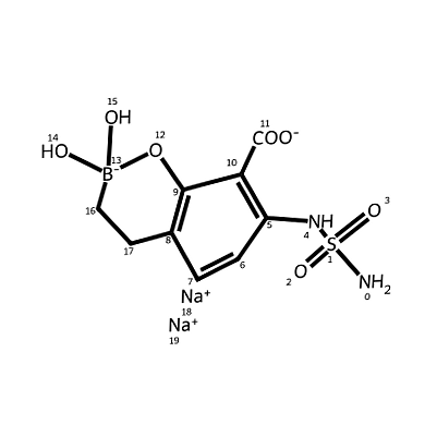 NS(=O)(=O)Nc1ccc2c(c1C(=O)[O-])O[B-](O)(O)CC2.[Na+].[Na+]